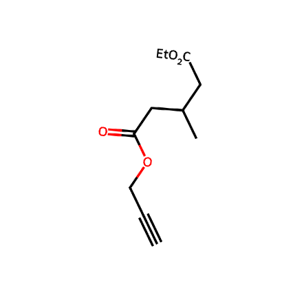 C#CCOC(=O)CC(C)CC(=O)OCC